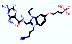 CCn1c(CNC(=O)c2nc(Cl)c(N)nc2N)[n+](CCCC#N)c2ccc(OCCCP(=O)(O)O)cc21